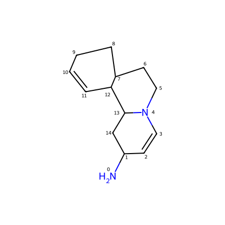 NC1C=CN2CCC3CCC=CC3C2C1